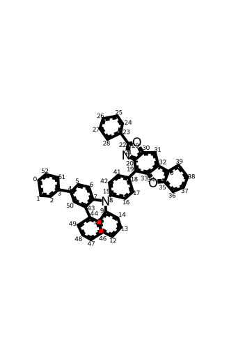 c1ccc(-c2ccc(N(c3ccccc3)c3ccc(-c4c5nc(-c6ccccc6)oc5cc5c4oc4ccccc45)cc3)c(-c3ccccc3)c2)cc1